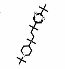 CC(C)(C)c1ncc(C(C)(C)CCC(C)(C)C2CCN(C(C)(C)C)CC2)cn1